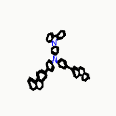 c1ccc2c(c1)ccc1cc(-c3ccc(N(c4ccc(-c5ccc6c(ccc7ccccc76)c5)cc4)c4ccc(-n5c6ccccc6c6ccccc65)cc4)cc3)ccc12